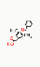 Cc1cc(CC(=O)O)cc(C)c1OCc1ccccc1